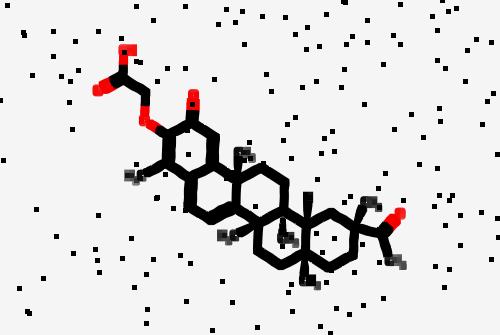 CC(=O)[C@]1(C)CC[C@]2(C)CC[C@]3(C)C4=CC=C5C(=CC(=O)C(OCC(=O)O)=C5C)[C@]4(C)CC[C@@]3(C)[C@@H]2C1